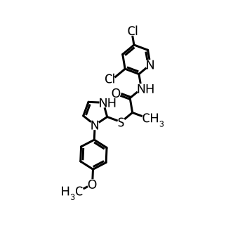 COc1ccc(N2C=CNC2SC(C)C(=O)Nc2ncc(Cl)cc2Cl)cc1